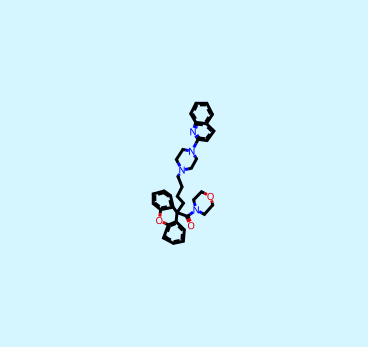 O=C(N1CCOCC1)C1(CCCCN2CCN(c3ccc4ccccc4n3)CC2)c2ccccc2Oc2ccccc21